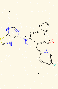 C[C@H](Nc1ncnc2scnc12)c1cc2ccc(F)cn2c(=O)c1-c1ccccc1